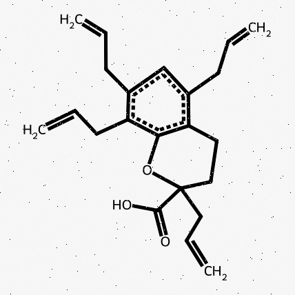 C=CCc1cc(CC=C)c2c(c1CC=C)OC(CC=C)(C(=O)O)CC2